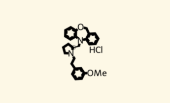 COc1cccc(CCN2CCC[C@H]2CN2c3ccccc3COc3ccccc32)c1.Cl